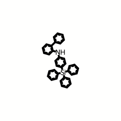 c1ccc(-c2ccccc2Nc2ccc([Si](c3ccccc3)(c3ccccc3)c3ccccc3)cc2)cc1